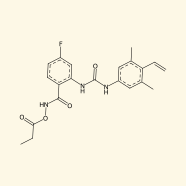 C=Cc1c(C)cc(NC(=O)Nc2cc(F)ccc2C(=O)NOC(=O)CC)cc1C